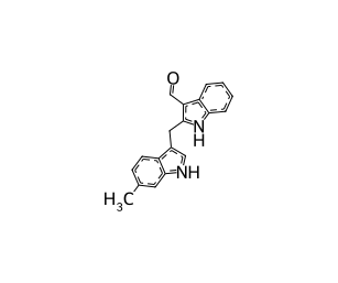 Cc1ccc2c(Cc3[nH]c4ccccc4c3C=O)c[nH]c2c1